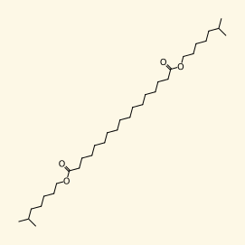 CC(C)CCCCCOC(=O)CCCCCCCCCCCCCCCC(=O)OCCCCCC(C)C